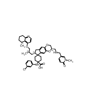 C[C@@H](COc1ccnc2c1[C@H](C)CCC2)C[C@H]1Cc2cc3c(cc2C12CCC(Nc1cccc(Cl)c1)(C(=O)O)CC2)O[C@H](CNCc1ccc(=O)n(C)c1)CO3